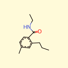 CCCc1cc(C)ccc1C(=O)NCC